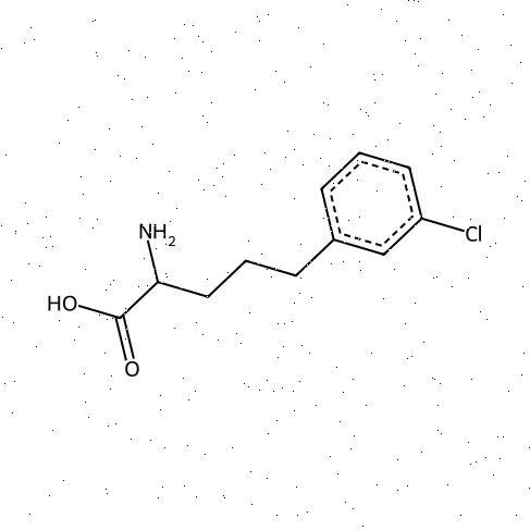 NC(CCCc1cccc(Cl)c1)C(=O)O